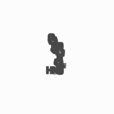 CNC(=O)c1ccc(N2CCC[C@@]3(CCN(C4CCOCC4)C3=O)C2)cc1F